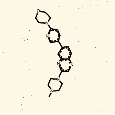 CN1CCN(c2cnc3ccc(-c4ccc(N5CCOCC5)nc4)cc3n2)CC1